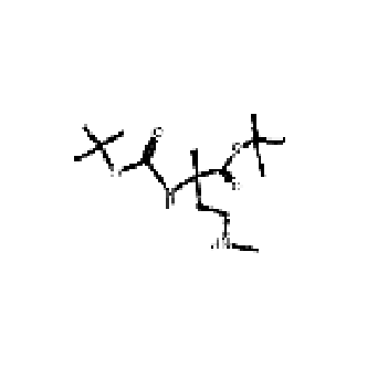 CNCCC(C)(NC(=O)OC(C)(C)C)C(=O)OC(C)(C)C